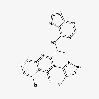 CC(Nc1ncnc2scnc12)c1nc2cccc(Cl)c2c(=O)n1-c1n[nH]cc1Br